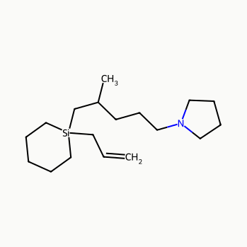 C=CC[Si]1(CC(C)CCCN2CCCC2)CCCCC1